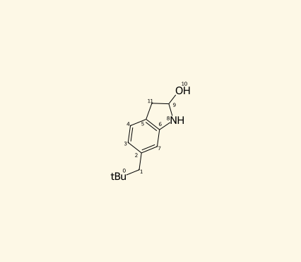 CC(C)(C)Cc1ccc2c(c1)NC(O)C2